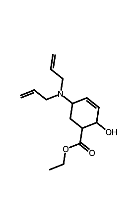 C=CCN(CC=C)C1C=CC(O)C(C(=O)OCC)C1